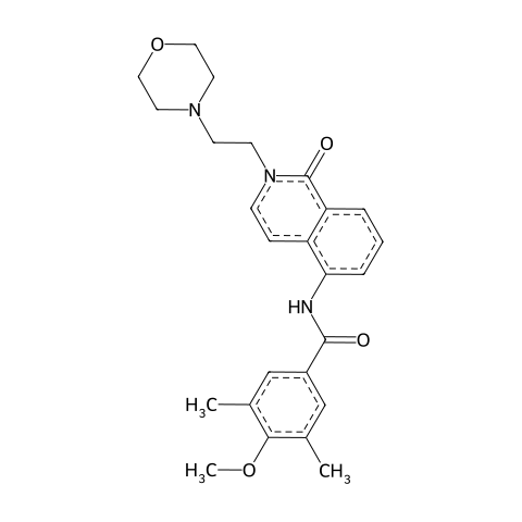 COc1c(C)cc(C(=O)Nc2cccc3c(=O)n(CCN4CCOCC4)ccc23)cc1C